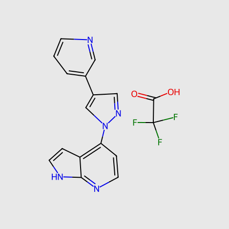 O=C(O)C(F)(F)F.c1cncc(-c2cnn(-c3ccnc4[nH]ccc34)c2)c1